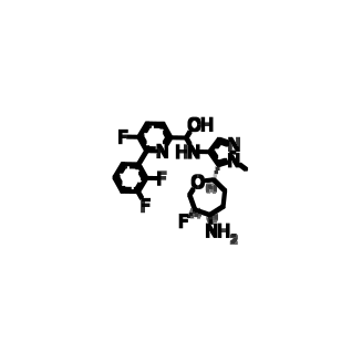 Cn1ncc(NC(O)c2ccc(F)c(-c3cccc(F)c3F)n2)c1[C@@H]1CC[C@@H](N)[C@H](F)CO1